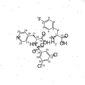 N[C@@H](Cc1ccc(F)cc1)C(=O)O.O=C(O)[C@H](Cc1ccncc1)NS(=O)(=O)c1cc(Cl)cc(Cl)c1